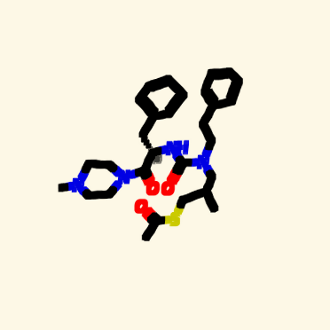 CC(=O)SCC(C)CN(CCc1ccccc1)C(=O)N[C@@H](Cc1ccccc1)C(=O)N1CCN(C)CC1